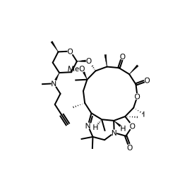 C#CCCN(C)[C@@H]1C[C@H](O[C@@H]2[C@@H](C)C(=O)[C@@H](C)C(=O)O[C@H](I)[C@@]3(C)OC(=O)N4CC(C)(C)N=C([C@H](C)C[C@@]2(C)OC)[C@H](C)[C@@H]43)O[C@H](C)C1